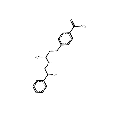 C[C@H](CCc1ccc(C(N)=O)cc1)NC[C@@H](O)c1ccccc1